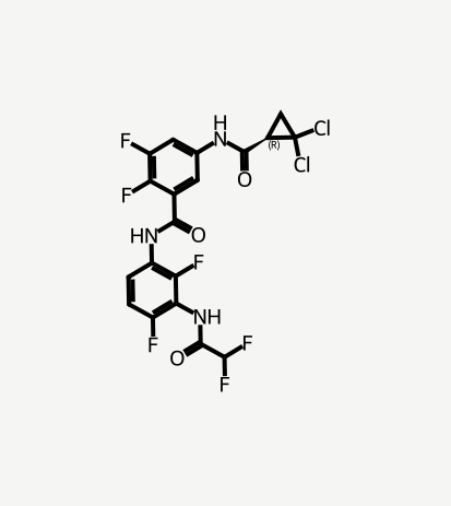 O=C(Nc1ccc(F)c(NC(=O)C(F)F)c1F)c1cc(NC(=O)[C@H]2CC2(Cl)Cl)cc(F)c1F